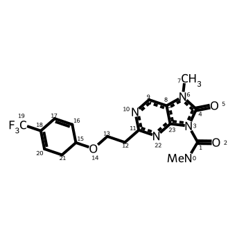 CNC(=O)n1c(=O)n(C)c2cnc(CCOC3C=CC(C(F)(F)F)=CC3)nc21